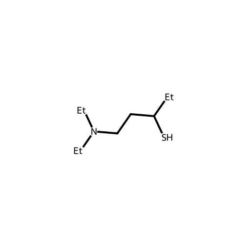 CCC(S)CCN(CC)CC